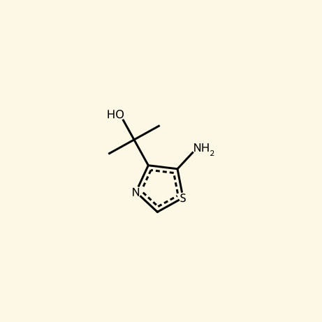 CC(C)(O)c1ncsc1N